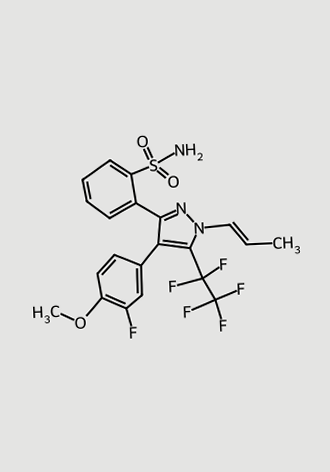 CC=Cn1nc(-c2ccccc2S(N)(=O)=O)c(-c2ccc(OC)c(F)c2)c1C(F)(F)C(F)(F)F